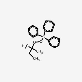 CCC(C)(C)OO[Si](c1ccccc1)(c1ccccc1)c1ccccc1